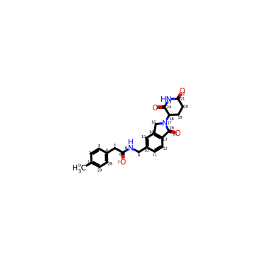 Cc1ccc(CC(=O)NCc2ccc3c(c2)CN(C2CCC(=O)NC2=O)C3=O)cc1